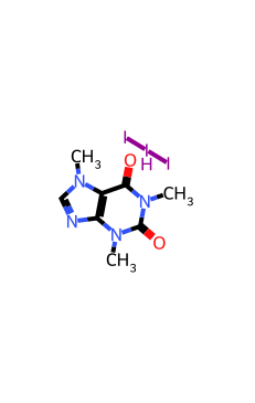 Cn1c(=O)c2c(ncn2C)n(C)c1=O.I[IH]I